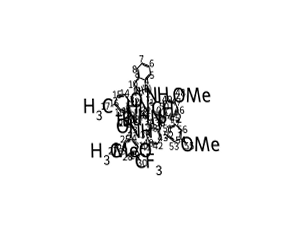 C=C(N[C@@H]1c2ccccc2C[C@H]1Oc1ccc(C)cc1NC(=O)Nc1cc(C)cc(C(F)(F)F)c1)N[C@H](CN=P(c1ccc(OC)cc1)(c1ccc(OC)cc1)c1ccc(OC)cc1)C(C)(C)C